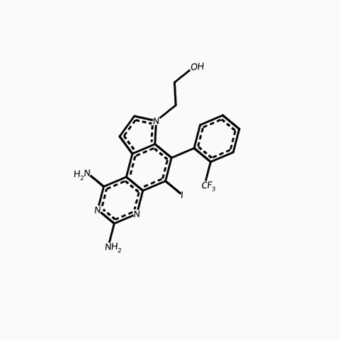 Nc1nc(N)c2c(n1)c(I)c(-c1ccccc1C(F)(F)F)c1c2ccn1CCO